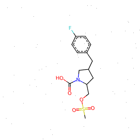 CS(=O)(=O)OCC1CC(Cc2ccc(F)cc2)CN1C(=O)O